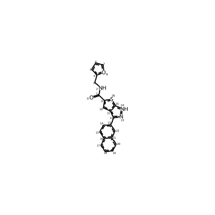 O=C(NCc1ccco1)c1cc2c(-c3ccc4ccccc4c3)n[nH]c2s1